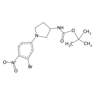 CC(C)(C)OC(=O)NC1CCN(c2ccc([N+](=O)[O-])c(Br)c2)C1